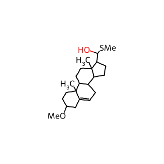 COC1CCC2(C)C(=CCC3C2CCC2(C)C(C(O)SC)CCC32)C1